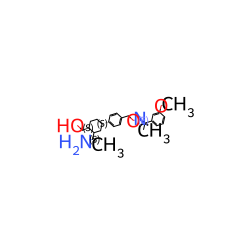 COc1cccc(/C(C)=N/OCc2ccc([C@H]3CC[C@H](CO)C([C@H](C)N)C3)cc2)c1